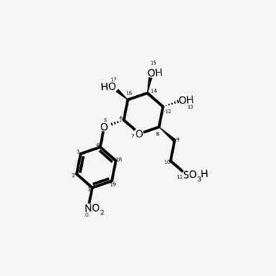 O=[N+]([O-])c1ccc(O[C@H]2O[C@H](CCS(=O)(=O)O)[C@@H](O)[C@H](O)[C@@H]2O)cc1